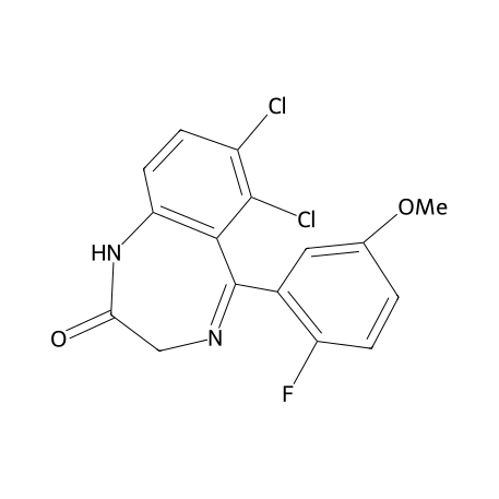 COc1ccc(F)c(C2=NCC(=O)Nc3ccc(Cl)c(Cl)c32)c1